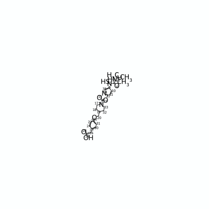 CC(C)(C)NC(=O)N(S)c1ccc(OC(=O)N2CCC(COc3ccc(CC(=O)O)cc3)CC2)nc1